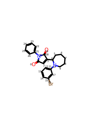 O=C1C=C(C2CCCCCN2c2cccc(Br)c2)C(=O)N1c1ccccc1